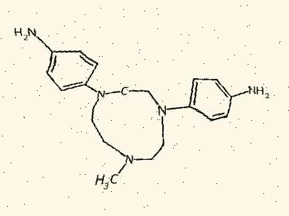 CN1CCN(c2ccc(N)cc2)CCN(c2ccc(N)cc2)CC1